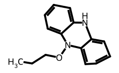 CCCON1c2ccccc2Nc2ccccc21